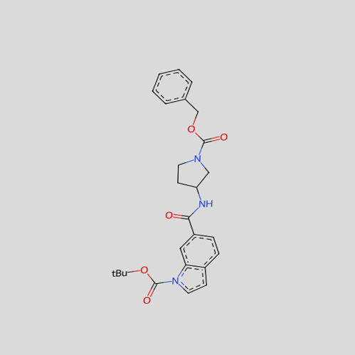 CC(C)(C)OC(=O)n1ccc2ccc(C(=O)NC3CCN(C(=O)OCc4ccccc4)C3)cc21